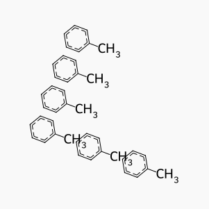 Cc1ccccc1.Cc1ccccc1.Cc1ccccc1.Cc1ccccc1.Cc1ccccc1.Cc1ccccc1